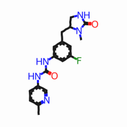 Cc1ccc(NC(=O)Nc2cc(F)cc(CC3CNC(=O)N3C)c2)cn1